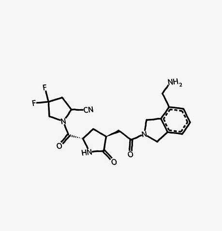 N#CC1CC(F)(F)CN1C(=O)[C@@H]1C[C@@H](CC(=O)N2Cc3cccc(CN)c3C2)C(=O)N1